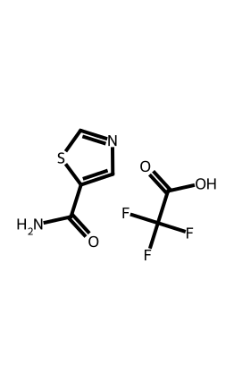 NC(=O)c1cncs1.O=C(O)C(F)(F)F